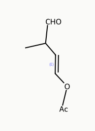 CC(=O)O/C=C/C(C)C=O